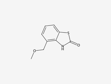 COCc1cccc2sc(=O)[nH]c12